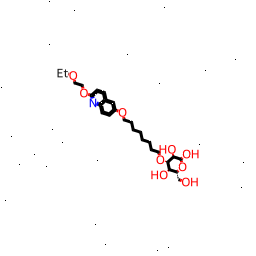 CCOCCOc1ccc2cc(OCCCCCCCCO[C@H]3[C@H](O)[C@@H](CO)OC(O)[C@@H]3O)ccc2n1